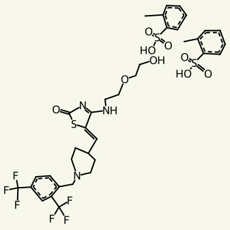 Cc1ccccc1S(=O)(=O)O.Cc1ccccc1S(=O)(=O)O.O=C1N=C(NCCOCCO)/C(=C/C2CCN(Cc3ccc(C(F)(F)F)cc3C(F)(F)F)CC2)S1